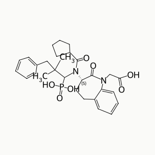 CC(C)(Cc1ccccc1)C(N(C(=O)C1CCCC1)[C@H]1CCc2ccccc2N(CC(=O)O)C1=O)P(=O)(O)O